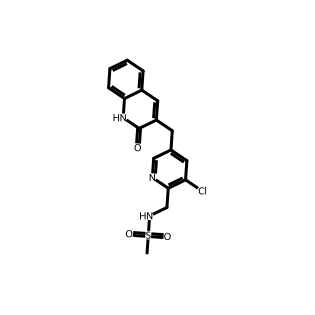 CS(=O)(=O)NCc1ncc(Cc2cc3ccccc3[nH]c2=O)cc1Cl